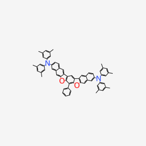 Cc1cc(C)cc(N(c2cc(C)cc(C)c2)c2ccc3cc4c(cc3c2)oc2c(-c3ccccc3)c3oc5cc6cc(N(c7cc(C)cc(C)c7)c7cc(C)cc(C)c7)ccc6cc5c3cc24)c1